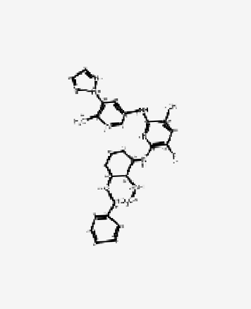 Cc1ncc(Nc2nc(NC3CCCC(OCc4ccccc4)C3NC(=O)O)c(F)cc2C#N)cc1-n1nccn1